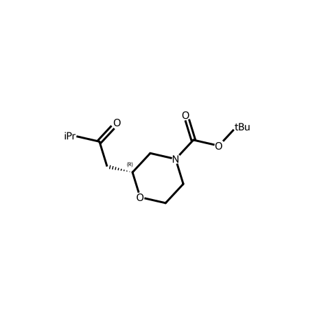 CC(C)C(=O)C[C@@H]1CN(C(=O)OC(C)(C)C)CCO1